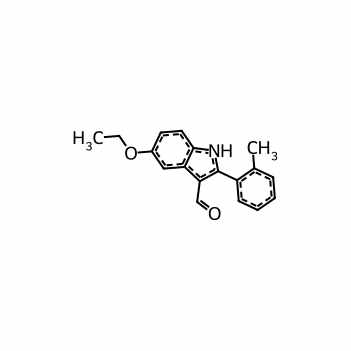 CCOc1ccc2[nH]c(-c3ccccc3C)c(C=O)c2c1